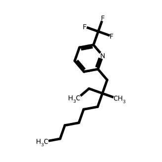 CCCCCCC(C)(CC)Cc1cccc(C(F)(F)F)n1